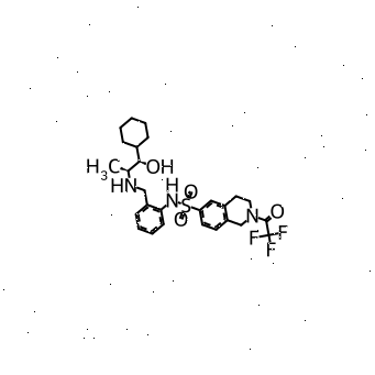 C[C@H](NCc1ccccc1NS(=O)(=O)c1ccc2c(c1)CCN(C(=O)C(F)(F)F)C2)[C@H](O)C1CCCCC1